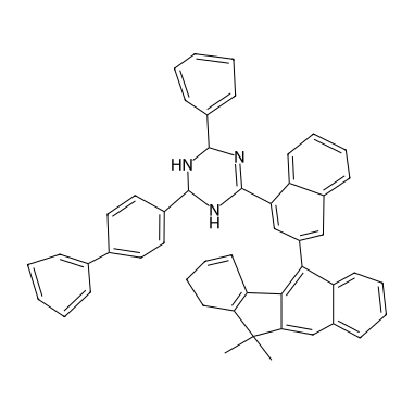 CC1(C)C2=C(C=CCC2)c2c1cc1ccccc1c2-c1cc(C2=NC(c3ccccc3)NC(c3ccc(-c4ccccc4)cc3)N2)c2ccccc2c1